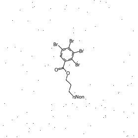 CCCCCCCCCCCCOC(=O)c1cc(Br)c(Br)c(Br)c1Br